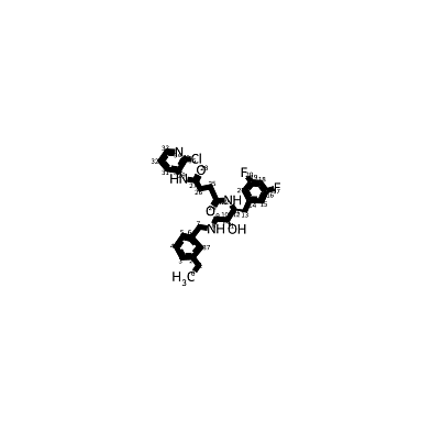 CCc1cccc(CNC[C@@H](O)[C@H](Cc2cc(F)cc(F)c2)NC(=O)CCC(=O)Nc2cccnc2Cl)c1